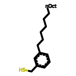 CCCCCCCCCCCCCCc1cccc(CS)c1